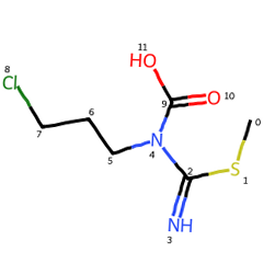 CSC(=N)N(CCCCl)C(=O)O